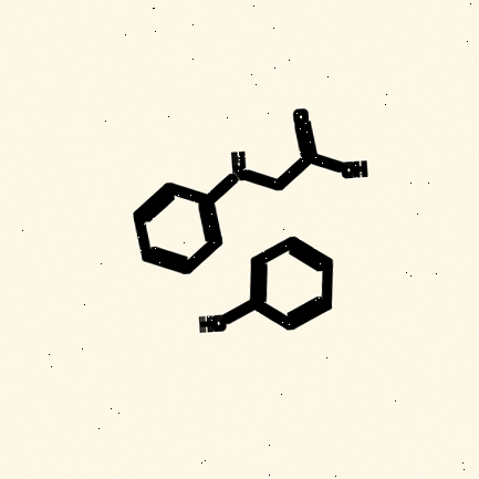 O=C(O)CNc1ccccc1.Oc1ccccc1